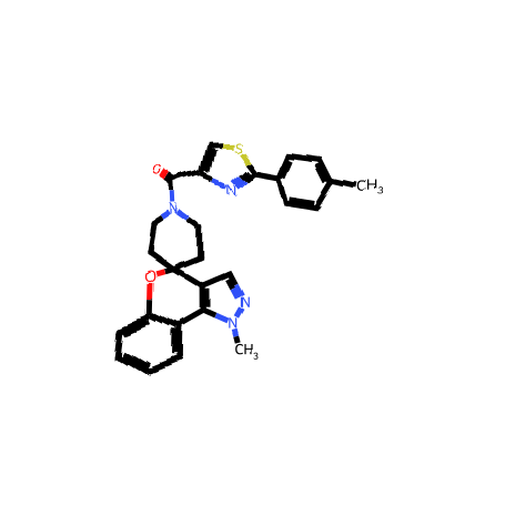 Cc1ccc(-c2nc(C(=O)N3CCC4(CC3)Oc3ccccc3-c3c4cnn3C)cs2)cc1